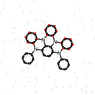 c1ccc(N(c2ccccc2)c2ccc(N(c3ccccc3)c3ccccc3)c(N(c3ccccc3)c3ccccc3)c2N(c2ccccc2)c2ccccc2)cc1